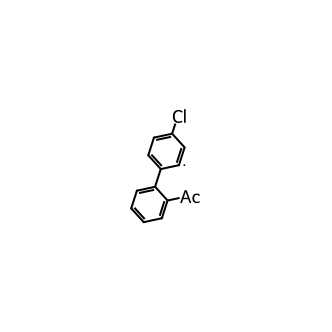 CC(=O)c1ccccc1-c1[c]cc(Cl)cc1